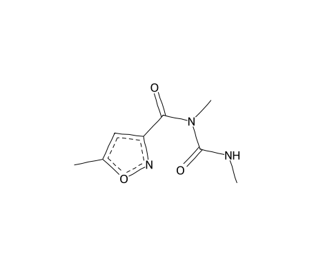 CNC(=O)N(C)C(=O)c1cc(C)on1